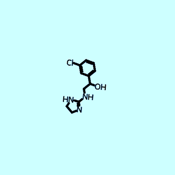 OC(CNC1=NCCN1)c1cccc(Cl)c1